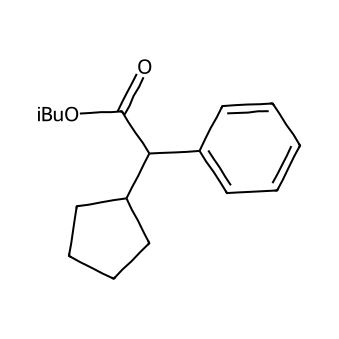 CC(C)COC(=O)C(c1ccccc1)C1CCCC1